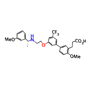 COc1cccc([C@@H](C)NCCOc2cc(-c3ccc(OC)c(CCC(=O)O)c3)cc(C(F)(F)F)c2)c1